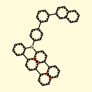 c1ccc(-c2ccc(-c3ccccc3N(c3ccc(-c4ccccc4)cc3)c3ccc(-c4cccc(-c5ccc6ccccc6c5)c4)cc3)cc2)cc1